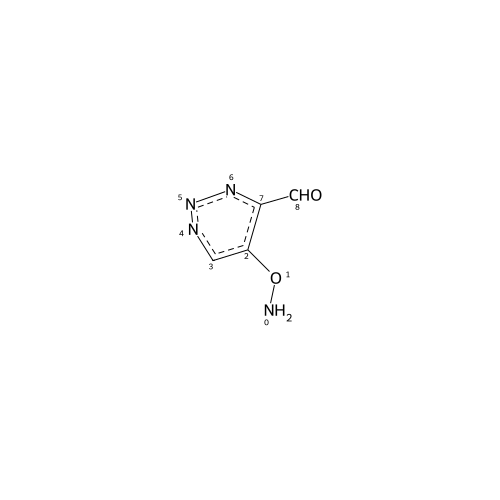 NOc1cnnnc1C=O